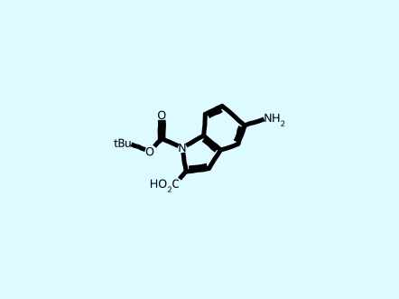 CC(C)(C)OC(=O)n1c(C(=O)O)cc2cc(N)ccc21